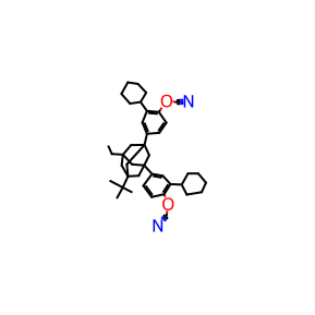 CCC12CC3(c4ccc(OC#N)c(C5CCCCC5)c4)CC(c4ccc(OC#N)c(C5CCCCC5)c4)(C1)CC(C(C)(C)C)(C2)C3